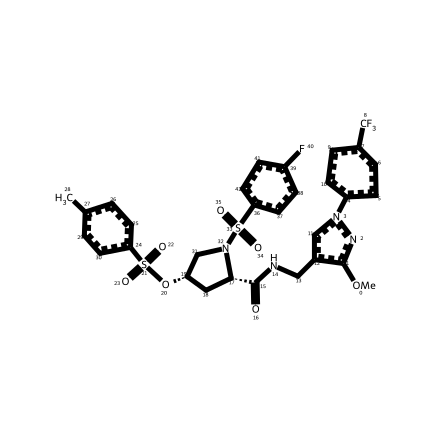 COc1nn(-c2ccc(C(F)(F)F)cc2)cc1CNC(=O)[C@@H]1C[C@H](OS(=O)(=O)c2ccc(C)cc2)CN1S(=O)(=O)c1ccc(F)cc1